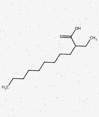 CCCCCCCCCC(CC)C(O)=S